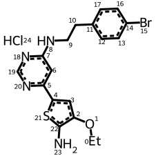 CCOc1cc(-c2cc(NCCc3ccc(Br)cc3)ncn2)sc1N.Cl